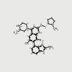 CN1CCC[C@H]1COc1nc(N2CCN[C@H](C(F)(F)F)C2)c2cc(Cl)c(-c3cccc4sc(N)nc34)c(F)c2n1